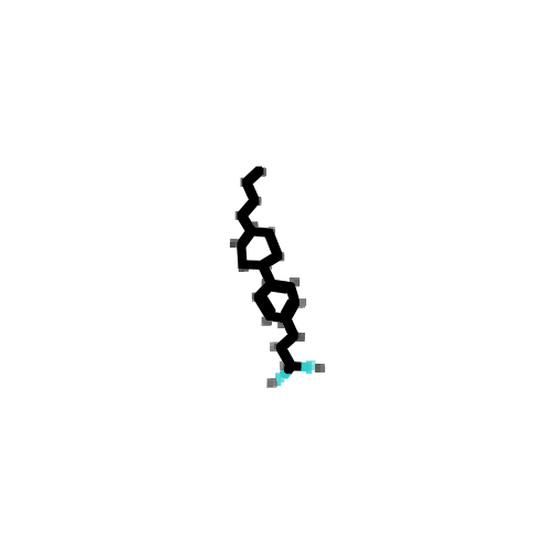 CCCCC1CCC(c2ccc(CCC(F)F)cc2)CC1